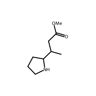 COC(=O)CC(C)C1CCCN1